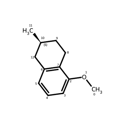 COc1cccc2c1CC[C@H](C)C2